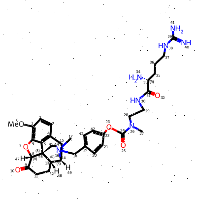 COc1ccc2c3c1O[C@H]1C(=O)CC[C@H]4[C@@H](C2)[N+](C)(Cc2ccc(OC(=O)N(C)CCNC(=O)[C@H](N)CCCNC(=N)N)cc2)CC[C@]314